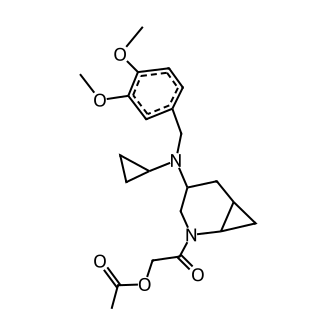 COc1ccc(CN(C2CC2)C2CC3CC3N(C(=O)COC(C)=O)C2)cc1OC